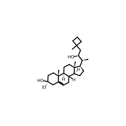 CC[C@]1(O)CC[C@@]2(C)C(=CC[C@H]3[C@@H]4CC[C@H]([C@H](C)[C@@H](O)CC5(C)CCC5)[C@@]4(C)CC[C@@H]32)C1